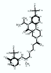 CC(C)N1C(=O)[C@H]2CN(C(=O)CCOC[C@H](C)Nc3cn[nH]c(=O)c3C(F)(F)F)CCN2c2ncc(C(F)(F)F)cc21